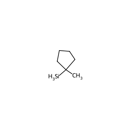 CC1([SiH3])CCCC1